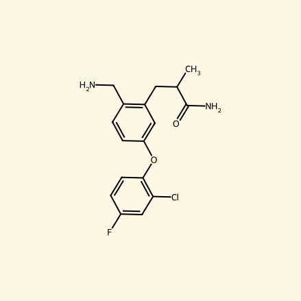 CC(Cc1cc(Oc2ccc(F)cc2Cl)ccc1CN)C(N)=O